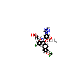 COc1cc(N(C)C(C(=O)C2CCc3ccc(OC(F)(F)F)cc3CC2)c2ccc(F)cc2OCCO)cc(-n2cncn2)c1